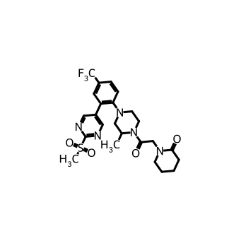 CC1CN(c2ccc(C(F)(F)F)cc2-c2cnc(S(C)(=O)=O)nc2)CCN1C(=O)CN1CCCCC1=O